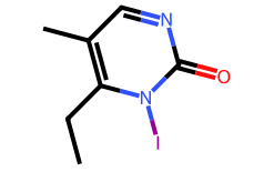 CCc1c(C)cnc(=O)n1I